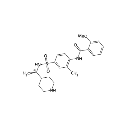 COc1ccccc1C(=O)Nc1ccc(S(=O)(=O)N[C@H](C)C2CCNCC2)cc1C